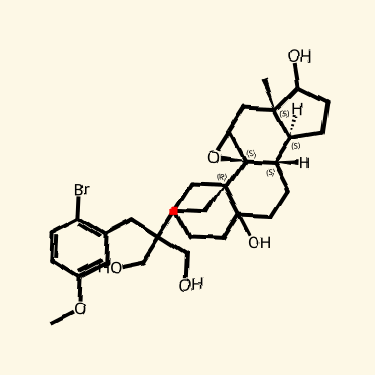 COc1ccc(Br)c(CC(CO)(CO)CC[C@]23CCCCC2(O)CC[C@H]2[C@@H]4CCC(O)[C@@]4(C)CC4O[C@@]423)c1